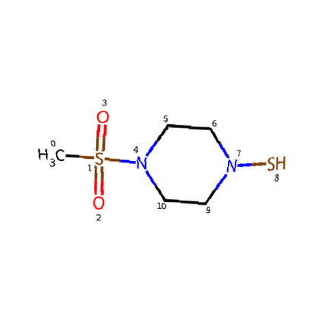 CS(=O)(=O)N1CCN(S)CC1